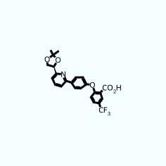 CC1(C)OC[C@H](c2cccc(-c3ccc(Oc4ccc(C(F)(F)F)cc4C(=O)O)cc3)n2)O1